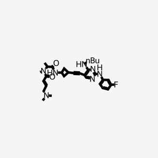 CCCCNc1nc(Nc2cccc(F)c2)ncc1C#CC1CC(NC(=O)C(C)N(C)C(=O)C=CCN(C)C)C1